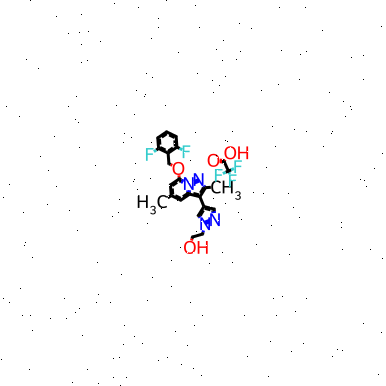 Cc1cc(OCc2c(F)cccc2F)n2nc(C)c(-c3cnn(CCO)c3)c2c1.O=C(O)C(F)(F)F